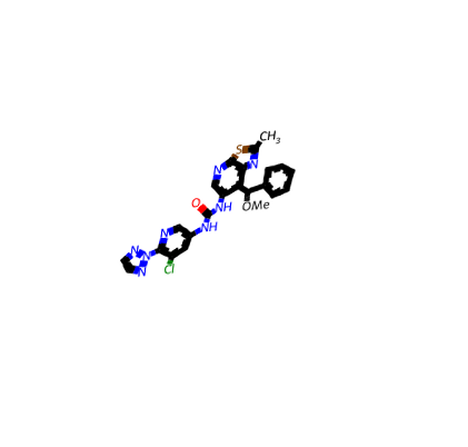 COC(c1ccccc1)c1c(NC(=O)Nc2cnc(-n3nccn3)c(Cl)c2)cnc2sc(C)nc12